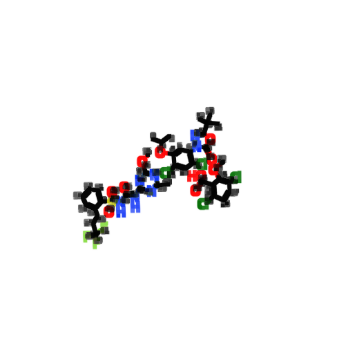 CC(C)Oc1cc(-n2nc(C(C)(C)C)oc2=O)c(Cl)cc1Cl.COc1c(Cl)ccc(Cl)c1C(=O)O.COc1nc(C)nc(NC(=O)NS(=O)(=O)c2ccccc2CCC(F)(F)F)n1